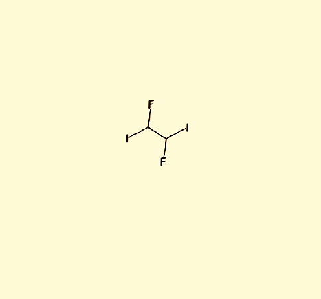 FC(I)C(F)I